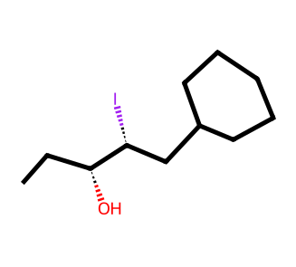 CC[C@@H](O)[C@H](I)CC1CCCCC1